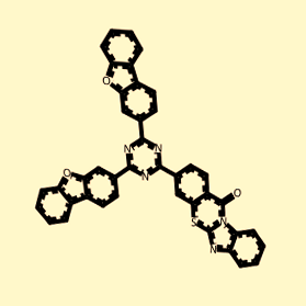 O=c1c2ccc(-c3nc(-c4ccc5c(c4)oc4ccccc45)nc(-c4ccc5c(c4)oc4ccccc45)n3)cc2sc2nc3ccccc3n12